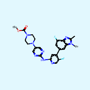 Cc1nc2c(F)cc(-c3cc(Nc4ncc(N5CCN(C(=O)OC(C)(C)C)CC5)cn4)ncc3F)cc2n1C(C)C